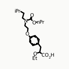 CCCOC(=O)N(CCOc1ccc(CC(OCC)C(=O)O)cc1)CCC(C)C